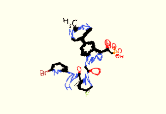 Cc1ncc(-c2ccc3c(c2)c(C(=O)CP(=O)(O)O)nn3CC(=O)N2C[C@H](F)C[C@H]2C(=O)Nc2cccc(Br)n2)cn1